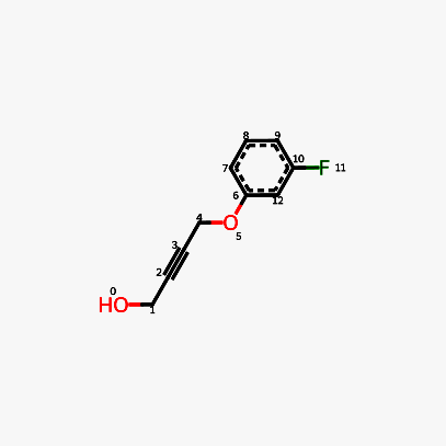 OCC#CCOc1cccc(F)c1